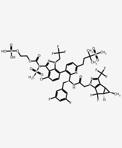 C[C@@H]1C2c3c(C(F)(F)F)nn(CC(=O)N[C@@H](Cc4cc(F)cc(F)c4)c4nc(CCC(C)(C)S(C)(=O)=O)ccc4-c4ccc(Cl)c5c(N(C(=O)OCCOP(=O)(O)O)S(C)(=O)=O)nn(CC(F)(F)F)c45)c3C(F)(F)[C@@H]21